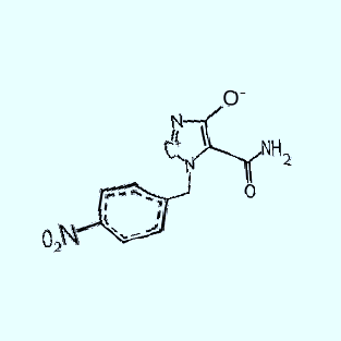 NC(=O)C1=C([O-])N=[C+]N1Cc1ccc([N+](=O)[O-])cc1